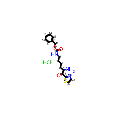 Cl.NC(CCCCNC(=O)OCc1ccccc1)C(=O)c1nccs1